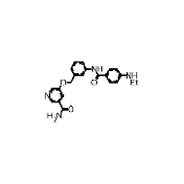 CCNc1ccc(C(=O)Nc2cccc(COc3cncc(C(N)=O)c3)c2)cc1